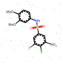 COc1ccc(NS(=O)(=O)c2cc(F)c(F)c([N+](=O)[O-])c2)cc1OC